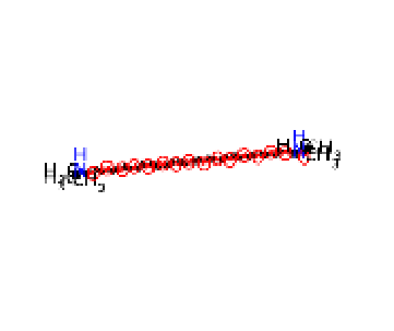 CC(C)(C)NCCOCCOCCOCCOCCOCCOCCOCCOCCOCCOCCOCCOCCOCCOCCOCCNC(=O)C(C)(C)C